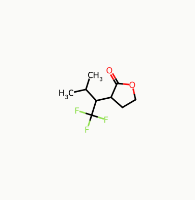 CC(C)C(C1CCOC1=O)C(F)(F)F